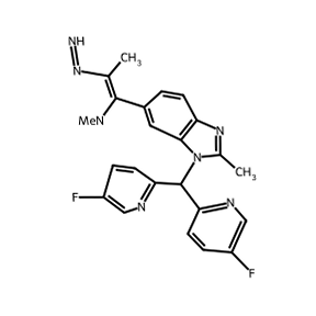 CN/C(=C(/C)N=N)c1ccc2nc(C)n(C(c3ccc(F)cn3)c3ccc(F)cn3)c2c1